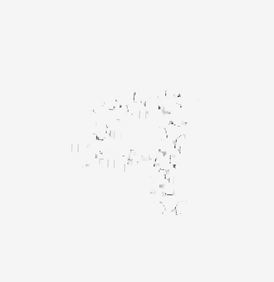 COC(=O)C(CNC(=O)C(=O)NC1CCCC(NC(=O)OC(C)(C)C)C1)NC(=O)c1ccc(Nc2nc(NC3(c4ccc(Cl)cc4)CC3)nc(OCC(F)(F)F)n2)cc1